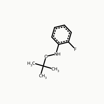 CC(C)(C)ONc1ccccc1F